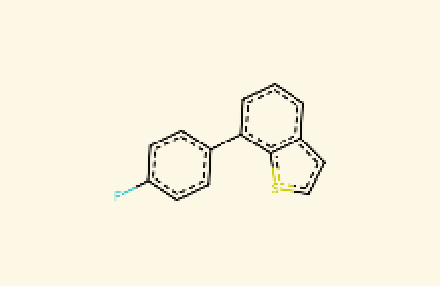 Fc1ccc(-c2cccc3ccsc23)cc1